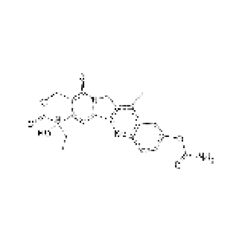 CC[C@@]1(O)C(=O)OCc2c1cc1n(c2=O)Cc2c-1nc1ccc(OC(N)=O)cc1c2C